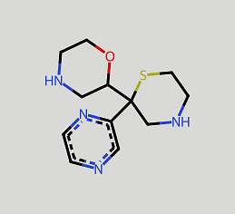 c1cnc(C2(C3CNCCO3)CNCCS2)cn1